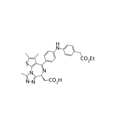 CCOC(=O)Cc1ccc(Nc2ccc(C3=N[C@@H](CC(=O)O)c4nnc(C)n4-c4sc(C)c(C)c43)cc2)cc1